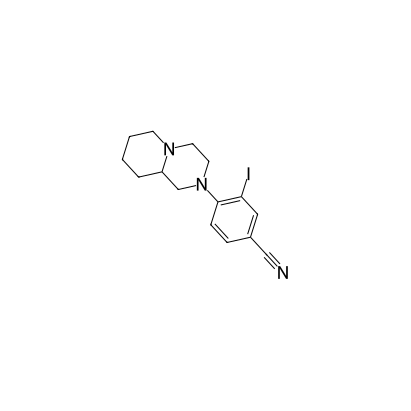 N#Cc1ccc(N2CCN3CCCCC3C2)c(I)c1